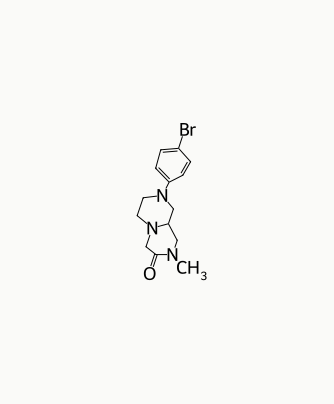 CN1CC2CN(c3ccc(Br)cc3)CCN2CC1=O